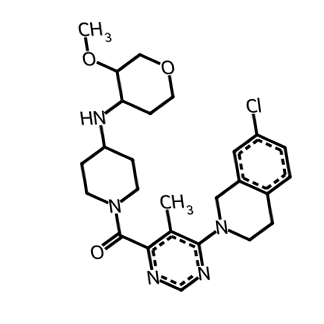 COC1COCCC1NC1CCN(C(=O)c2ncnc(N3CCc4ccc(Cl)cc4C3)c2C)CC1